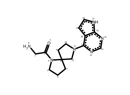 NCC(=O)N1CCCC12CCN(c1ncnc3[nH]ccc13)C2